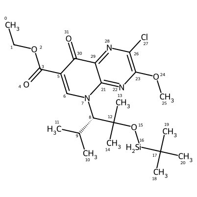 CCOC(=O)c1cn([C@@H](C(C)C)C(C)(C)O[SiH2]C(C)(C)C)c2nc(OC)c(Cl)nc2c1=O